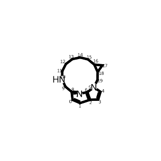 c1cc2ccn3c2nc1CNCCCCCC1CC1C3